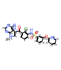 CC(C)n1cc(C(=O)c2cccc(NS(=O)(=O)c3cccc(Oc4ccccn4)c3)c2Cl)c2c(N)ncnc21